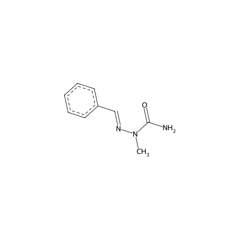 CN(N=Cc1ccccc1)C(N)=O